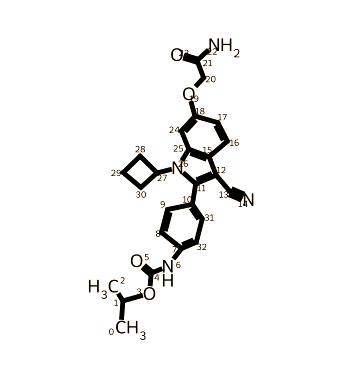 CC(C)OC(=O)Nc1ccc(-c2c(C#N)c3ccc(OCC(N)=O)cc3n2C2CCC2)cc1